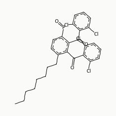 CCCCCCCCc1ccc(P=O)c(C(=O)c2c(Cl)cccc2Cl)c1C(=O)c1c(Cl)cccc1Cl